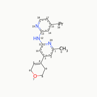 Cc1cc(C2=CCOCC2)cc(Nc2cc(C(C)C)ccn2)n1